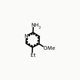 CCc1cnc(N)cc1OC